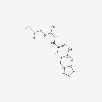 CC(C)COC(C)ONC(=O)C[C@@H](CC1CCCC1)C(=O)O